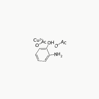 CC(=O)[O-].CC(=O)[O-].Nc1ccccc1O.[Cu+2]